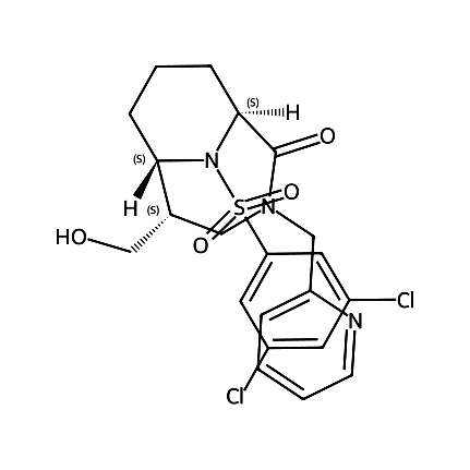 O=C1[C@@H]2CCC[C@@H]([C@@H](CO)CN1Cc1ccccn1)N2S(=O)(=O)c1cc(Cl)cc(Cl)c1